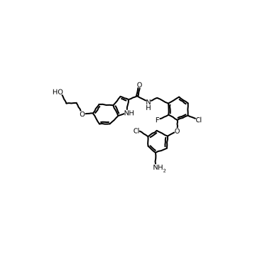 Nc1cc(Cl)cc(Oc2c(Cl)ccc(CNC(=O)c3cc4cc(OCCO)ccc4[nH]3)c2F)c1